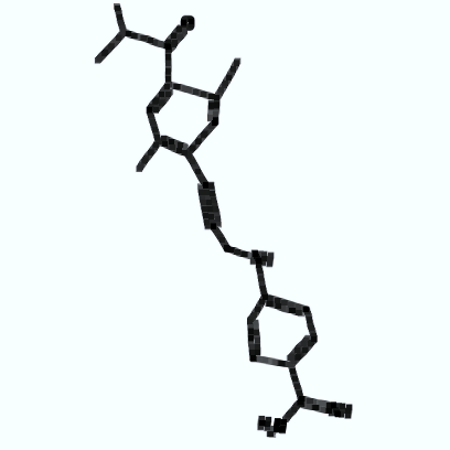 Cc1cc(C(=O)C(C)C)c(C)cc1C#CCNc1ccc(C(=N)N)cc1